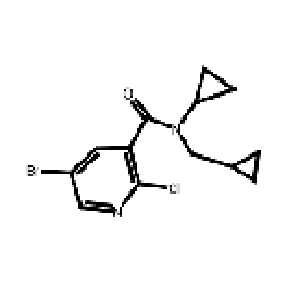 O=C(c1cc(Br)cnc1Cl)N(CC1CC1)C1CC1